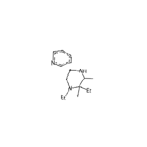 CCN1CCNC(C)C1(C)CC.c1ccncc1